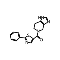 O=C(c1cnc(-c2ccccc2)s1)N1CCc2[nH]cnc2C1